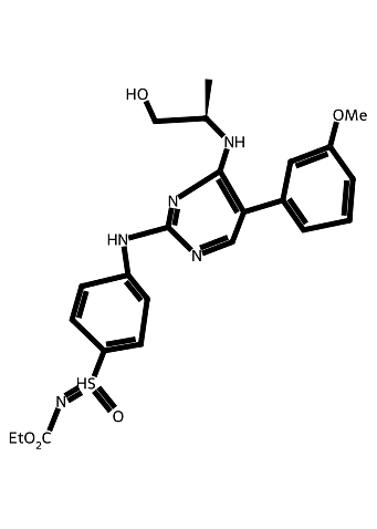 CCOC(=O)/N=[SH](=O)/c1ccc(Nc2ncc(-c3cccc(OC)c3)c(N[C@H](C)CO)n2)cc1